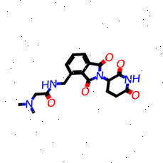 CN(C)CC(=O)NCc1cccc2c1C(=O)N(C1CCC(=O)NC1=O)C2=O